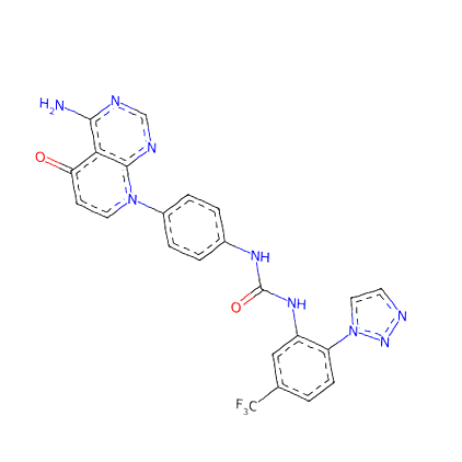 Nc1ncnc2c1c(=O)ccn2-c1ccc(NC(=O)Nc2cc(C(F)(F)F)ccc2-n2ccnn2)cc1